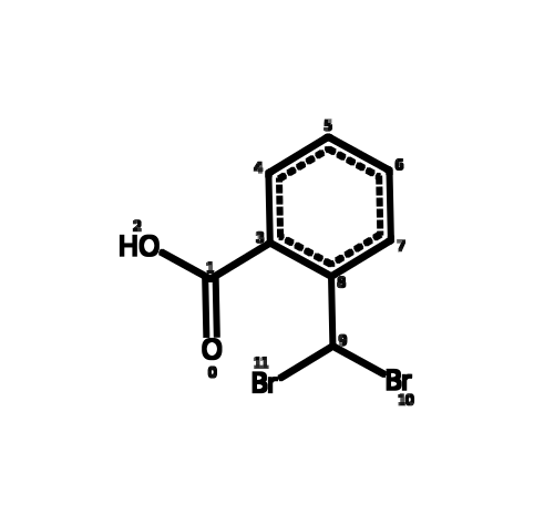 O=C(O)c1ccccc1C(Br)Br